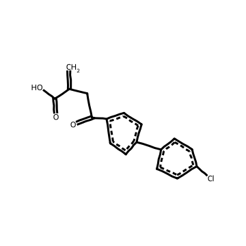 C=C(CC(=O)c1ccc(-c2ccc(Cl)cc2)cc1)C(=O)O